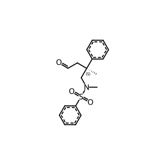 CN(C[C@@](C)(CC=O)c1ccccc1)S(=O)(=O)c1ccccc1